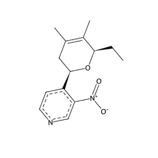 CC[C@H]1O[C@@H](c2ccncc2[N+](=O)[O-])CC(C)=C1C